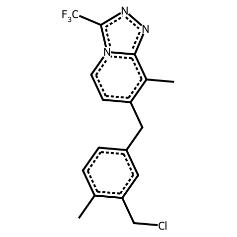 Cc1ccc(Cc2ccn3c(C(F)(F)F)nnc3c2C)cc1CCl